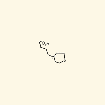 O=C(O)CCCN1CCSCC1